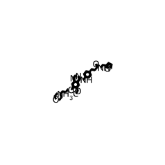 COc1cc2c(Nc3ccc(/C=C/C(=O)NCc4ccco4)cc3)ncnc2cc1OCCCN1CCOCC1